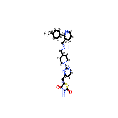 O=C1NC(=O)/C(=C/c2ccnc(N3CCC(CNCc4cccnc4-c4ccc(C(F)(F)F)cc4)CC3)n2)S1